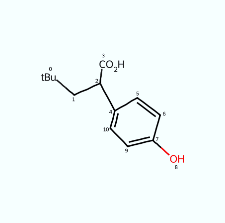 CC(C)(C)CC(C(=O)O)c1ccc(O)cc1